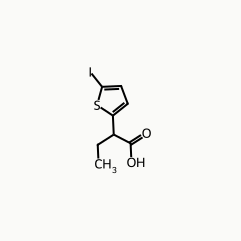 CCC(C(=O)O)c1ccc(I)s1